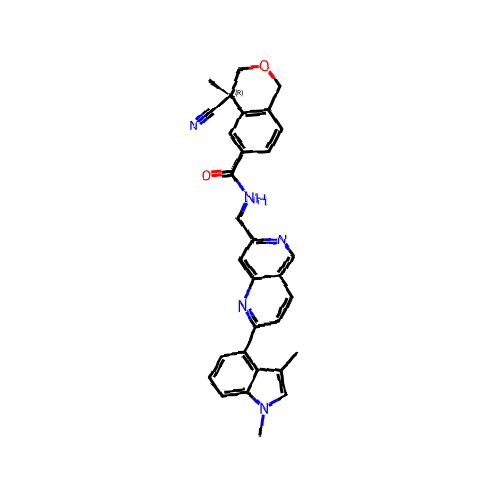 Cc1cn(C)c2cccc(-c3ccc4cnc(CNC(=O)c5ccc6c(c5)[C@](C)(C#N)COC6)cc4n3)c12